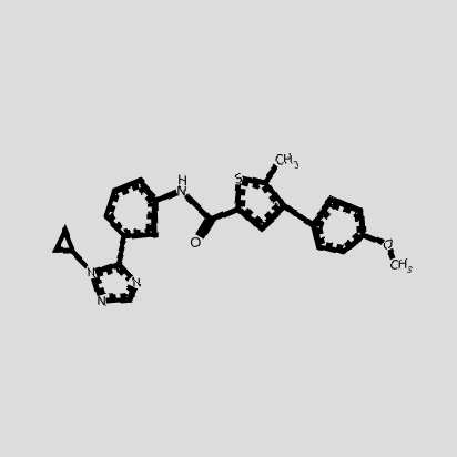 COc1ccc(-c2cc(C(=O)Nc3cccc(-c4ncnn4C4CC4)c3)sc2C)cc1